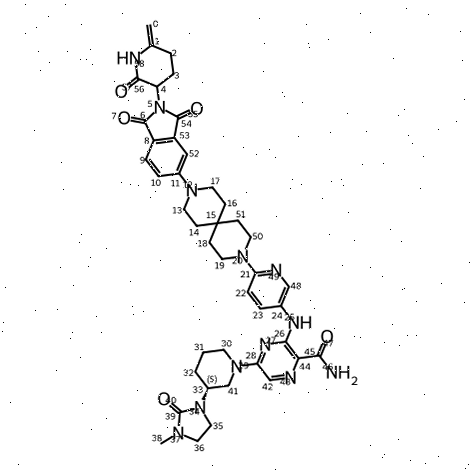 C=C1CCC(N2C(=O)c3ccc(N4CCC5(CC4)CCN(c4ccc(Nc6nc(N7CCC[C@H](N8CCN(C)C8=O)C7)cnc6C(N)=O)cn4)CC5)cc3C2=O)C(=O)N1